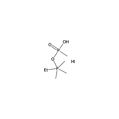 CCP(C)(C)(C)OP(C)(=O)O.I